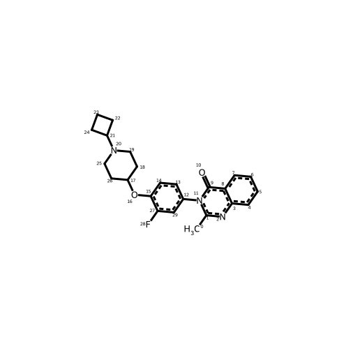 Cc1nc2ccccc2c(=O)n1-c1ccc(OC2CCN(C3CCC3)CC2)c(F)c1